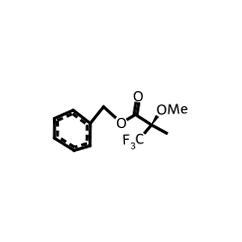 CO[C@](C)(C(=O)OCc1ccccc1)C(F)(F)F